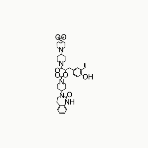 C=Cc1cc(C[C@@H](OC(=O)N2CCC(N3CCc4ccccc4NC3=O)CC2)C(=O)N2CCC(N3CCS(=O)(=O)CC3)CC2)ccc1O